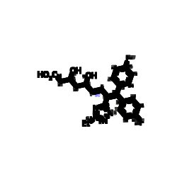 CCn1nnc(C(/C=C/C(O)CC(O)CC(=O)O)=C(c2ccc(F)cc2)c2ccc(F)cc2)n1